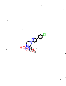 CNC1(CC=O)CN(c2ccc(-c3ccc(Cl)cc3)cn2)CCCN1C(=O)O